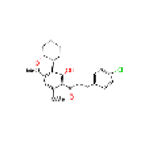 COc1cc(OC)c([C@@H]2CCCC[C@H]2O)c(O)c1C(=O)CCc1ccc(Cl)cc1